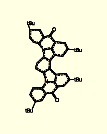 CC(C)(C)c1ccc2c(c1)c(=O)c1cc(C(C)(C)C)cc3c4c5c6cc(C(C)(C)C)cc7c(=O)c8cc(C(C)(C)C)ccc8n(c5ccc4n2c13)c76